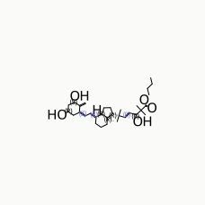 C=C1/C(=C\C=C2/CCC[C@]3(C)[C@@H](C(C)(C)/C=C/[C@@H](O)C(C)(C)C(=O)OCCCC)CC[C@@H]23)C[C@@H](O)C[C@@H]1O